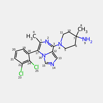 Cc1nc(N2CCC(C)(N)CC2)c2cncn2c1-c1cccc(Cl)c1Cl